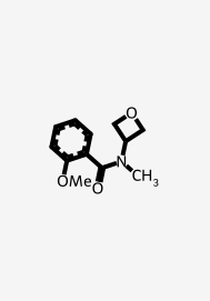 COc1ccccc1C(=O)N(C)C1COC1